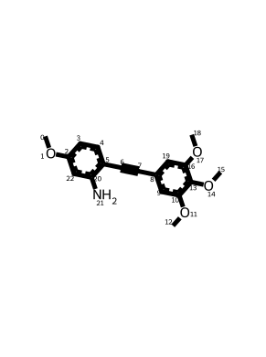 COc1ccc(C#Cc2cc(OC)c(OC)c(OC)c2)c(N)c1